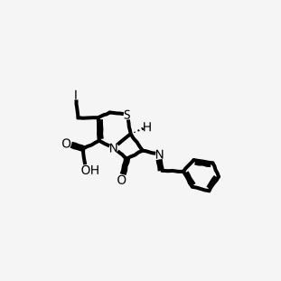 O=C(O)C1=C(CI)CS[C@H]2C(N=Cc3ccccc3)C(=O)N12